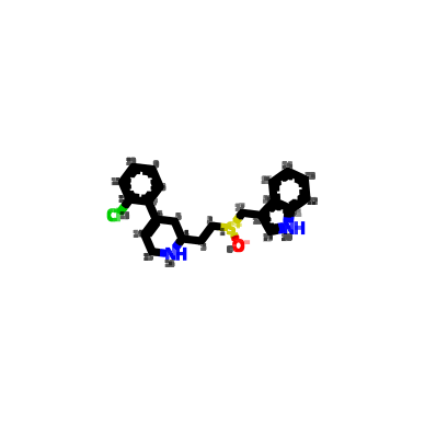 [O-][S+](CCC1CC(c2ccccc2Cl)=CCN1)Cc1c[nH]c2ccccc12